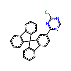 Clc1ncnc(-c2ccc3c(c2)C2(c4ccccc4-c4ccccc42)c2ccccc2-3)n1